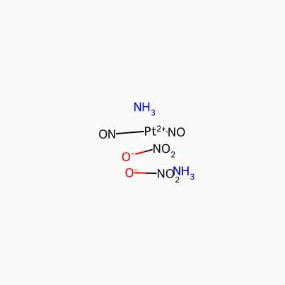 N.N.O=[N+]([O-])[O-].O=[N+]([O-])[O-].O=[N][Pt+2][N]=O